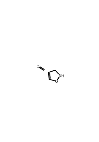 C1=CONC1.C=O